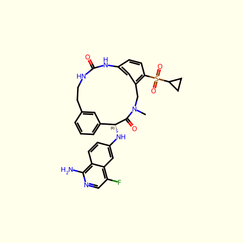 CN1Cc2cc(ccc2S(=O)(=O)C2CC2)NC(=O)NCCc2cccc(c2)[C@@H](Nc2ccc3c(N)ncc(F)c3c2)C1=O